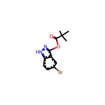 CC(C)(C)C(=O)Oc1n[nH]c2ccc(Br)cc12